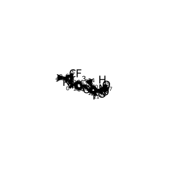 CC(c1cc(C(F)(F)F)cc(C2CC2)n1)N1CCC(COc2cc(F)c(C(=O)NS(C)(=O)=O)cc2C2CC2)CC1